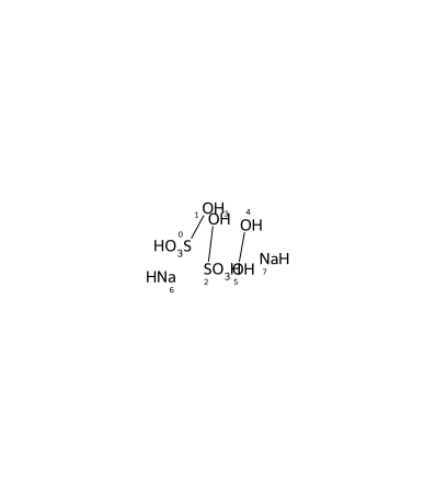 O=S(=O)(O)O.O=S(=O)(O)O.OO.[NaH].[NaH]